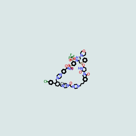 C[C@@]1(CN2CCN(C(=O)CN3CCN(CCCc4ccc5c(c4)CN(C4CCC(=O)NC4=O)C5=O)CC3)CC2)CCC(c2ccc(Cl)cc2)=C(CN2CCN(c3ccc(C(=O)NS(=O)(=O)c4ccc(N[C@H](CCN5CCCOCC5)CSc5ccccc5)c(S(=O)(=O)C(F)(F)F)c4)cc3)CC2)C1